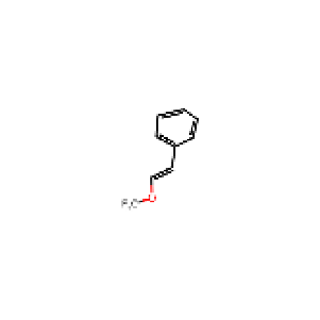 FC(F)(F)OC=Cc1ccccc1